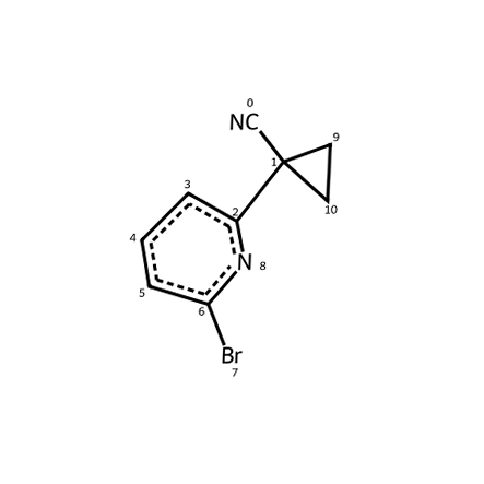 N#CC1(c2cccc(Br)n2)CC1